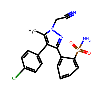 Cc1c(-c2ccc(Cl)cc2)c(-c2ccccc2S(N)(=O)=O)nn1CC#N